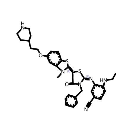 CCNc1ccc(C#N)cc1/N=C1/S/C(=C2\Sc3ccc(OCCC4CCNCC4)cc3N2C)C(=O)N1Cc1ccccc1